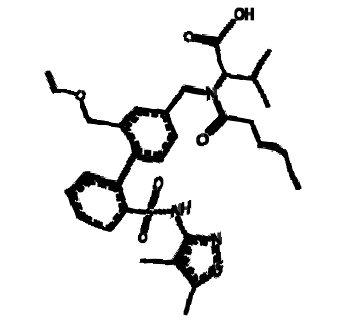 CCCCC(=O)N(Cc1ccc(-c2ccccc2S(=O)(=O)Nc2nsc(C)c2C)c(COCC)c1)C(C(=O)O)C(C)C